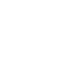 COc1c(C(=O)c2ccc(Cl)cc2)[nH]c(C(C)C(=O)O)c1C(=O)O